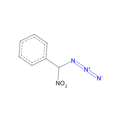 [N-]=[N+]=NC(c1ccccc1)[N+](=O)[O-]